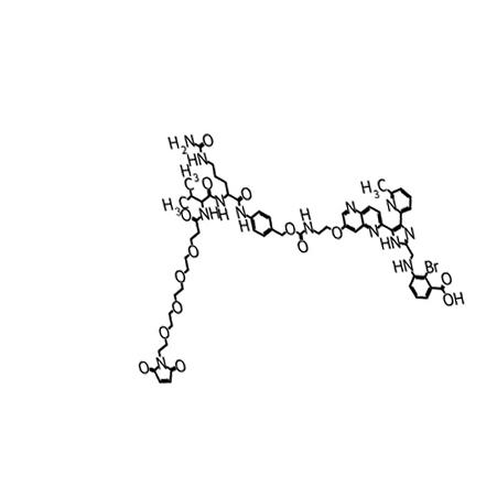 Cc1cccc(-c2nc(CNc3cccc(C(=O)O)c3Br)[nH]c2-c2ccc3ncc(OCCNC(=O)OCc4ccc(NC(=O)C(CCCNC(N)=O)NC(=O)C(NC(=O)CCOCCOCCOCCOCCN5C(=O)C=CC5=O)C(C)C)cc4)cc3n2)n1